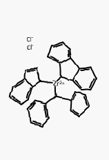 C1=C[CH]([Zr+2]([CH](c2ccccc2)c2ccccc2)[CH]2c3ccccc3-c3ccccc32)c2ccccc21.[Cl-].[Cl-]